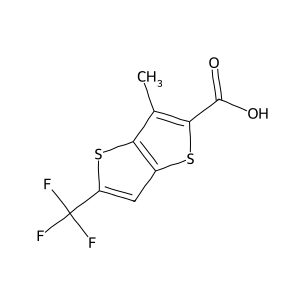 Cc1c(C(=O)O)sc2cc(C(F)(F)F)sc12